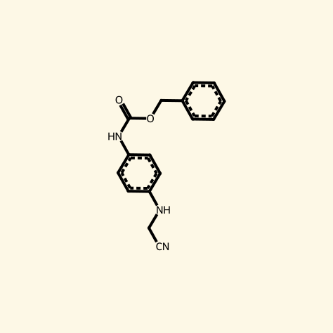 N#CCNc1ccc(NC(=O)OCc2ccccc2)cc1